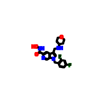 O=C(NO)c1cc2c(CNC3CCOCC3)cn(Cc3ccc(F)cc3F)c2cn1